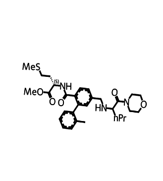 CCCC(NCc1ccc(C(=O)N[C@@H](CCSC)C(=O)OC)c(-c2ccccc2C)c1)C(=O)N1CCOCC1